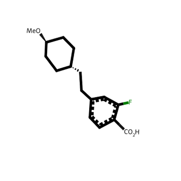 CO[C@H]1CC[C@H](CCc2ccc(C(=O)O)c(F)c2)CC1